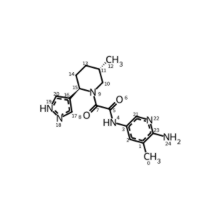 Cc1cc(NC(=O)C(=O)N2C[C@@H](C)CC[C@@H]2c2cn[nH]c2)cnc1N